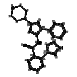 O=C(Nc1cn(C2CCOCC2)nc1-c1ccccn1)c1ncccc1-c1cc[nH]n1